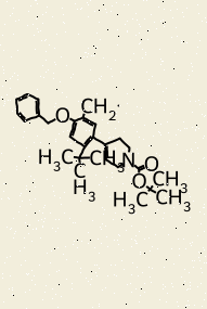 [CH2]c1cc(C2=CCN(C(=O)OC(C)(C)C)CC2)c(C(C)(C)C)cc1OCc1ccccc1